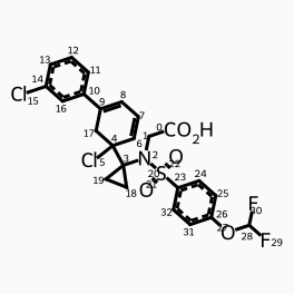 O=C(O)CN(C1(C2(Cl)C=CC=C(c3cccc(Cl)c3)C2)CC1)S(=O)(=O)c1ccc(OC(F)F)cc1